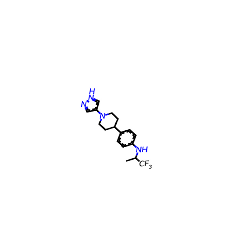 CC(Nc1ccc(C2CCN(c3cn[nH]c3)CC2)cc1)C(F)(F)F